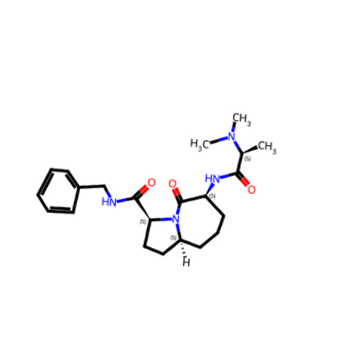 C[C@@H](C(=O)N[C@H]1CCC[C@H]2CC[C@@H](C(=O)NCc3ccccc3)N2C1=O)N(C)C